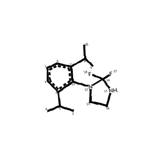 CC(C)c1cccc(C(C)C)c1N1CCNC1(F)F